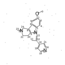 COc1ccc2c(c1)c1c(n2C=C(C)c2ccncc2)CCN(C)C1